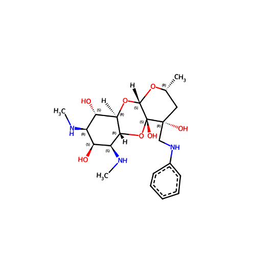 CN[C@@H]1[C@H](O)[C@H](NC)[C@H]2O[C@]3(O)[C@H](O[C@@H]2[C@H]1O)O[C@H](C)C[C@@]3(O)CNc1ccccc1